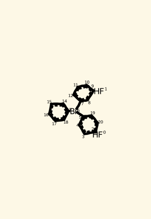 F.F.c1cc[c]([Bi]([c]2ccccc2)[c]2ccccc2)cc1